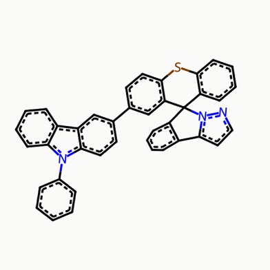 c1ccc(-n2c3ccccc3c3cc(-c4ccc5c(c4)C4(c6ccccc6S5)c5ccccc5-c5ccnn54)ccc32)cc1